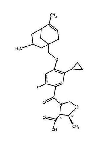 CC1=CCC2(COc3cc(F)c(C(=O)N4CS[C@@H](C)[C@H]4C(=O)O)cc3C3CC3)CC(C)CC1C2